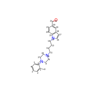 Cc1ccccc1N1CCN(CCCCn2ccc3cc(C=O)ccc32)CC1